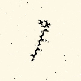 COC(=O)CCC(=O)SCCC(N)CCNC(=O)[C@@H]1OC(C)(C)OCC1(C)C